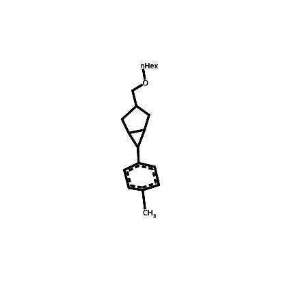 [CH2+][CH-]CCCCOCC1CC2C(C1)C2c1ccc(C)cc1